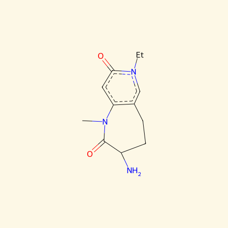 CCn1cc2c(cc1=O)N(C)C(=O)C(N)CC2